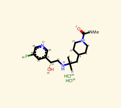 CNC(=O)N1CCC(CC(C)(C)NC[C@H](O)c2cncc(F)c2)CC1.Cl.Cl